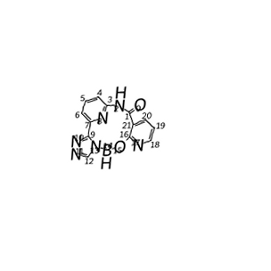 O=C1Nc2cccc(n2)-c2nncn2BOc2ncccc21